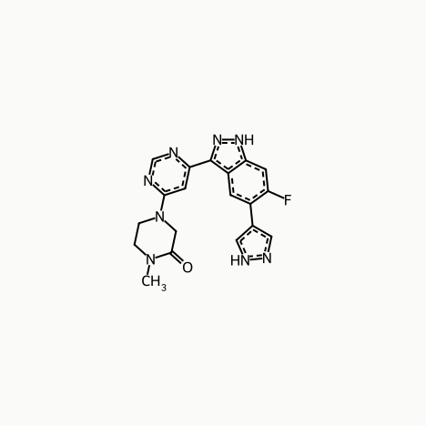 CN1CCN(c2cc(-c3n[nH]c4cc(F)c(-c5cn[nH]c5)cc34)ncn2)CC1=O